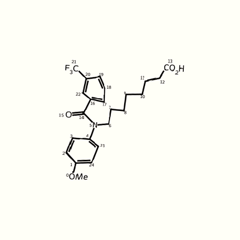 COc1ccc(N(CCCCCCCC(=O)O)C(=O)c2cccc(C(F)(F)F)c2)cc1